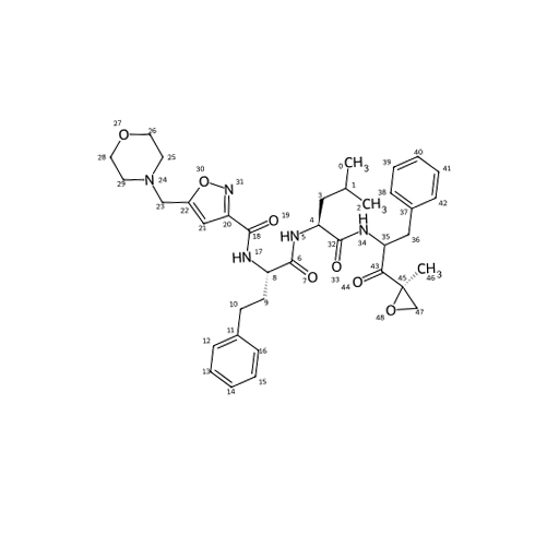 CC(C)C[C@H](NC(=O)[C@H](CCc1ccccc1)NC(=O)c1cc(CN2CCOCC2)on1)C(=O)NC(Cc1ccccc1)C(=O)[C@@]1(C)CO1